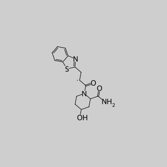 NC(=O)C1CC(O)CCN1C(=O)[CH]Cc1nc2ccccc2s1